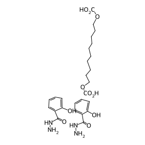 NNC(=O)c1ccccc1O.NNC(=O)c1ccccc1O.O=C(O)OCCCCCCCCCCOC(=O)O